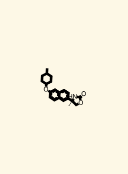 CC1CCC(Oc2ccc3cc([C@]4(C)COC(=O)N4)ccc3c2)CC1